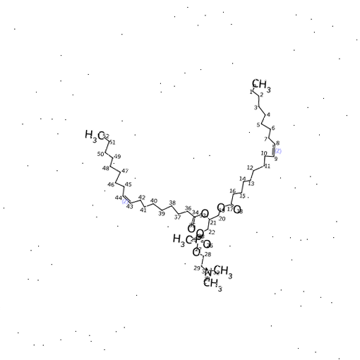 CCCCCCCC/C=C\CCCCCCCC(=O)OCC(COP(C)(=O)OCCN(C)C)OC(=O)CCCCCCC/C=C\CCCCCCCC